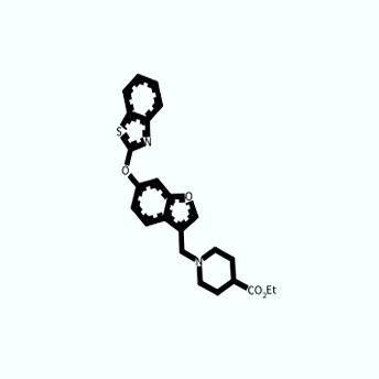 CCOC(=O)C1CCN(Cc2coc3cc(Oc4nc5ccccc5s4)ccc23)CC1